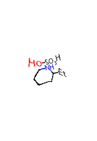 CCC1CCCCN1.O=S(=O)(O)O